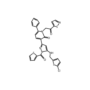 O=C(Cn1c(-c2ccccc2)ccc(-c2cc(NCc3ccc(Cl)s3)n(C(=O)c3cccs3)n2)c1=O)c1ccns1